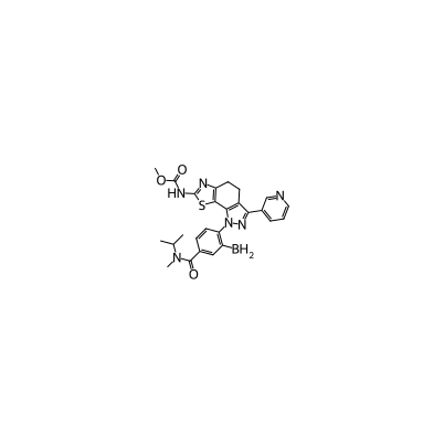 Bc1cc(C(=O)N(C)C(C)C)ccc1-n1nc(-c2cccnc2)c2c1-c1sc(NC(=O)OC)nc1CC2